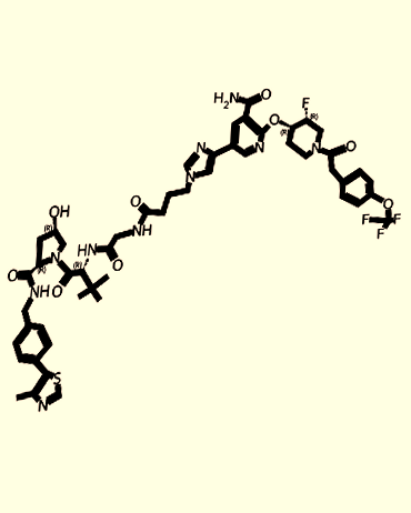 Cc1ncsc1-c1ccc(CNC(=O)[C@H]2C[C@@H](O)CN2C(=O)[C@H](NC(=O)CNC(=O)CCCn2cnc(-c3cnc(O[C@@H]4CCN(C(=O)Cc5ccc(OC(F)(F)F)cc5)C[C@H]4F)c(C(N)=O)c3)c2)C(C)(C)C)cc1